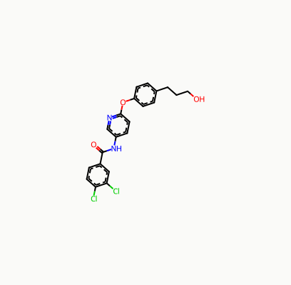 O=C(Nc1ccc(Oc2ccc(CCCO)cc2)nc1)c1ccc(Cl)c(Cl)c1